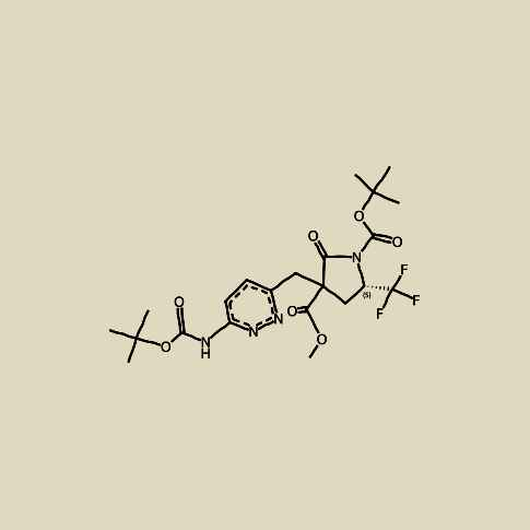 COC(=O)C1(Cc2ccc(NC(=O)OC(C)(C)C)nn2)C[C@@H](C(F)(F)F)N(C(=O)OC(C)(C)C)C1=O